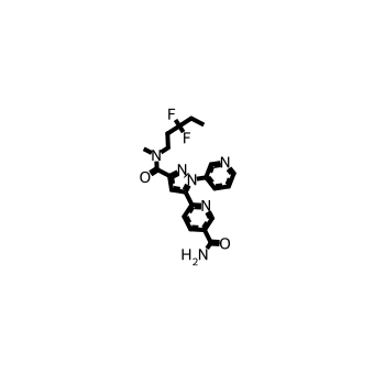 CCC(F)(F)CCN(C)C(=O)c1cc(-c2ccc(C(N)=O)cn2)n(-c2cccnc2)n1